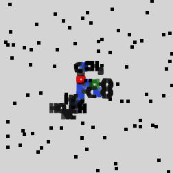 CN1CCC[C@H]1COc1nc2c(c(N3C[C@H]4C/C(=C\C#N)[C@@H](C3)N4C(=O)O)n1)CCN(c1cccc3cccc(Cl)c13)C2